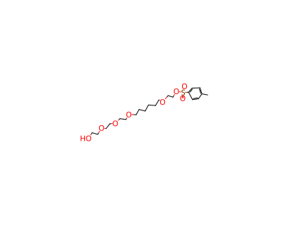 Cc1ccc(S(=O)(=O)OCCOCCCCCCOCCOCCOCCO)cc1